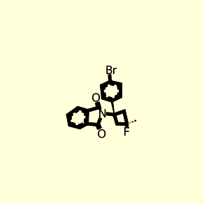 C[C@]1(F)C[C@](c2ccc(Br)cc2)(N2C(=O)c3ccccc3C2=O)C1